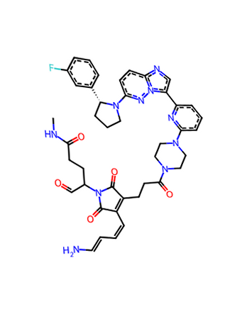 CNC(=O)CCC(C=O)N1C(=O)C(/C=C\C=C\N)=C(CCC(=O)N2CCN(c3cccc(-c4cnc5ccc(N6CCC[C@@H]6c6cccc(F)c6)nn45)n3)CC2)C1=O